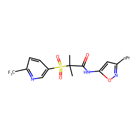 CCCc1cc(NC(=O)C(C)(C)S(=O)(=O)c2ccc(C(F)(F)F)nc2)on1